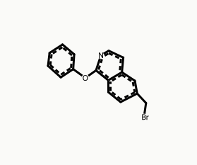 BrCc1ccc2c(Oc3ccccc3)nccc2c1